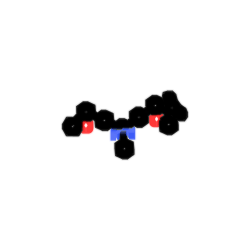 c1ccc(-c2nc(-c3ccc(-c4cccc5c4Oc4ccccc4C54c5ccccc5-c5ccccc54)cc3)cc(-c3ccc(-c4cccc5c4oc4ccccc45)cc3)n2)cc1